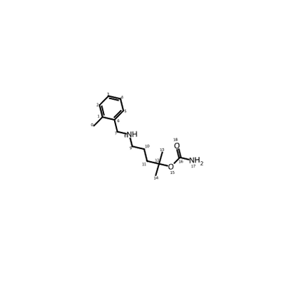 Cc1ccccc1CNCCCC(C)(C)OC(N)=O